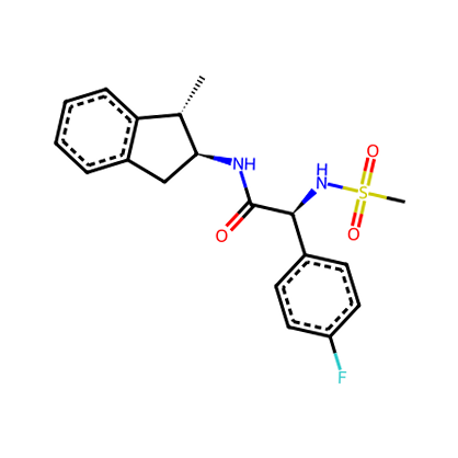 C[C@H]1c2ccccc2C[C@@H]1NC(=O)[C@@H](NS(C)(=O)=O)c1ccc(F)cc1